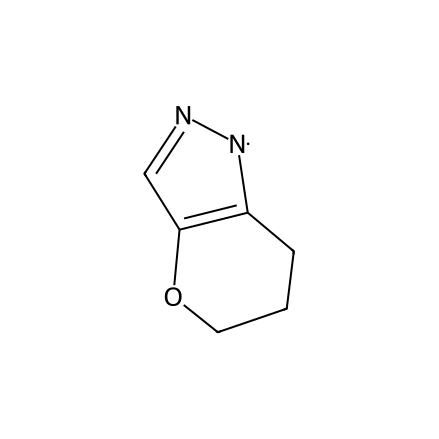 C1=N[N]C2=C1OCCC2